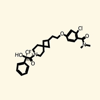 CN(C)C(=O)c1ccc(OCCC2CC3(CCN(C(=O)[C@](O)(c4ccccc4)C(F)(F)F)CC3)C2)cc1Cl